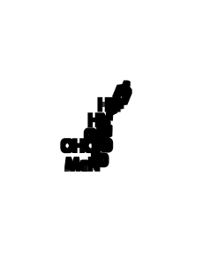 CNC(=O)CCC(C=O)N1C(=O)c2ccc(NCCCNC3(C)CC4CC(C)CC(C4)C3)cc2C1=O